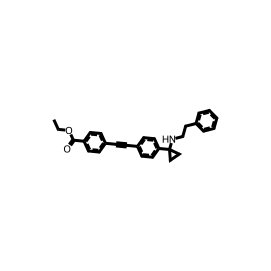 CCOC(=O)c1ccc(C#Cc2ccc(C3(NCCc4ccccc4)CC3)cc2)cc1